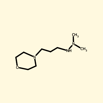 CN(C)NCCCN1CCOCC1